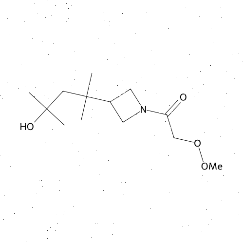 COOCC(=O)N1CC(C(C)(C)CC(C)(C)O)C1